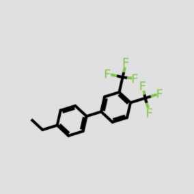 CCc1ccc(-c2ccc(C(F)(F)F)c(C(F)(F)F)c2)cc1